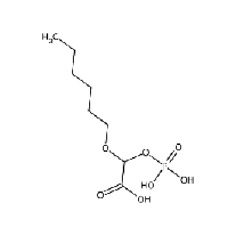 CCCCCCOC(OP(=O)(O)O)C(=O)O